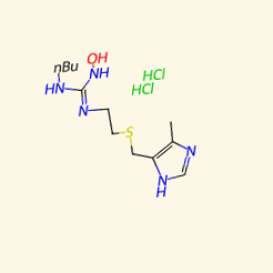 CCCCN/C(=N/CCSCc1[nH]cnc1C)NO.Cl.Cl